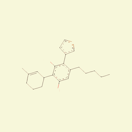 CCCCCc1cc(O)c(C2C=C(C)CCC2)c(O)c1-c1ccsc1